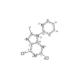 Cc1nc2c(Cl)nc(Cl)nc2n1-c1ccccn1